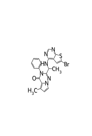 Cc1ccn2nc(C(C)Nc3ncnc4sc(Br)cc34)n(-c3ccccc3)c(=O)c12